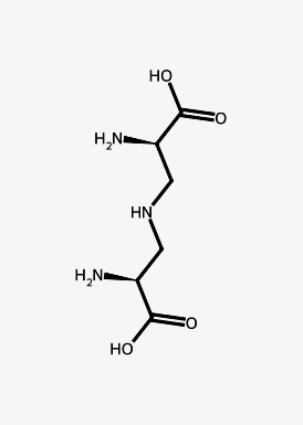 N[C@H](CNC[C@H](N)C(=O)O)C(=O)O